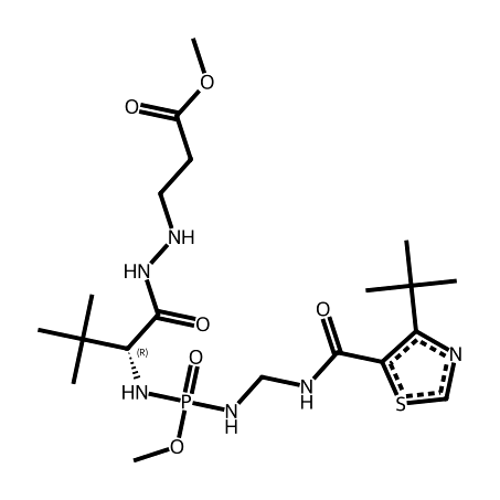 COC(=O)CCNNC(=O)[C@H](NP(=O)(NCNC(=O)c1scnc1C(C)(C)C)OC)C(C)(C)C